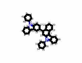 c1ccc(-n2c3ccccc3c3cc(-c4cc5c(c6ccccc46)c4ccccc4n5-c4ccccc4)ccc32)cc1